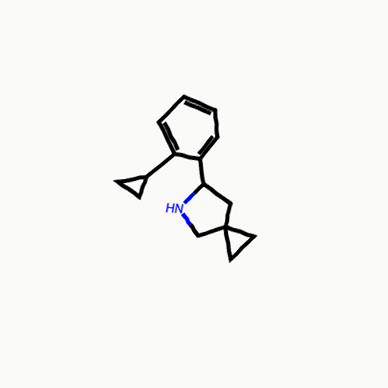 c1ccc(C2CC3(CC3)CN2)c(C2CC2)c1